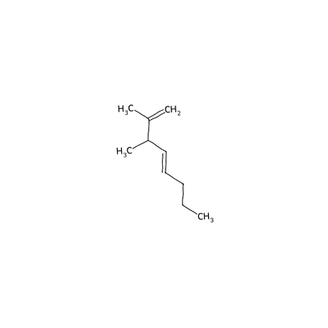 C=C(C)C(C)C=CCCC